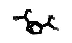 CC(N)C1=C2CC(C1)CC2C(C)N